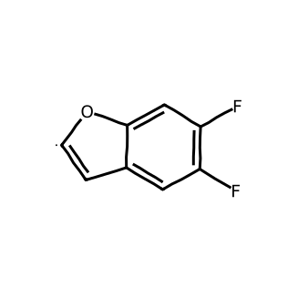 Fc1cc2c[c]oc2cc1F